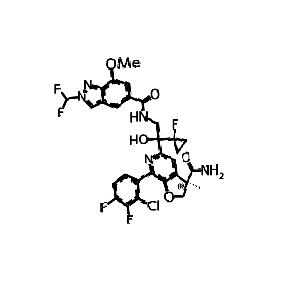 COc1cc(C(=O)NCC(O)(c2cc3c(c(-c4ccc(F)c(F)c4Cl)n2)OC[C@]3(C)C(N)=O)C2(F)CC2)cc2cn(C(F)F)nc12